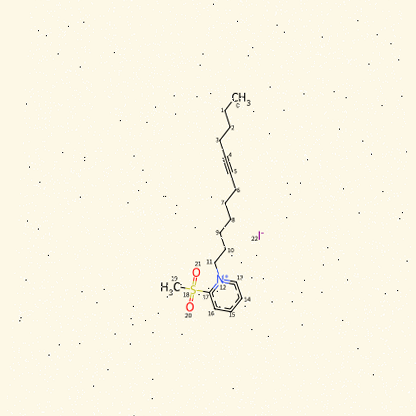 CCCCC#CCCCCCC[n+]1ccccc1S(C)(=O)=O.[I-]